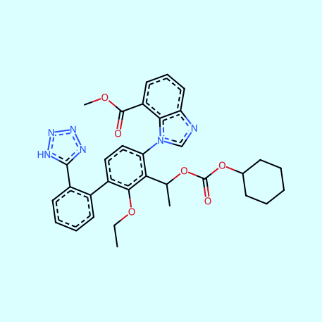 CCOc1c(-c2ccccc2-c2nnn[nH]2)ccc(-n2cnc3cccc(C(=O)OC)c32)c1C(C)OC(=O)OC1CCCCC1